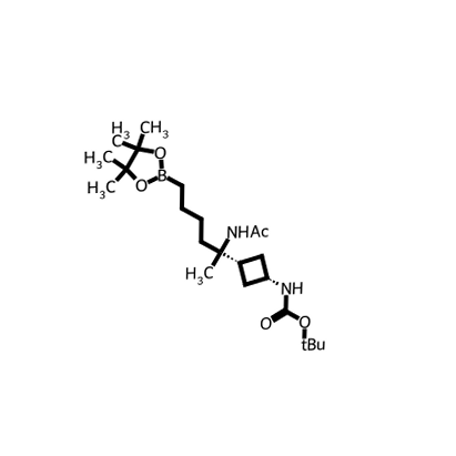 CC(=O)NC(C)(CCCCB1OC(C)(C)C(C)(C)O1)[C@H]1C[C@@H](NC(=O)OC(C)(C)C)C1